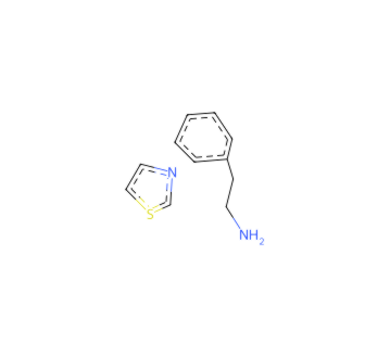 NCCc1ccccc1.c1cscn1